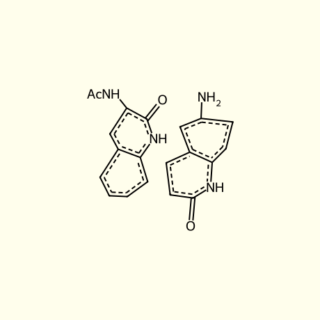 CC(=O)Nc1cc2ccccc2[nH]c1=O.Nc1ccc2[nH]c(=O)ccc2c1